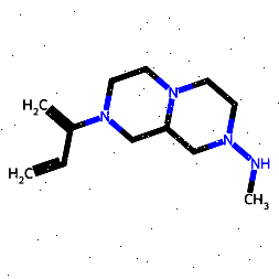 C=CC(=C)N1CCN2CCN(NC)CC2C1